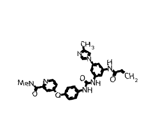 C=CC(=O)Nc1cc(NC(=O)Nc2ccc(Oc3ccnc(C(=O)NC)c3)cc2)cc(-n2cnc(C)c2)c1